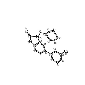 O=C1[N]c2ccc(-c3cccc(Cl)c3)cc2N1Cc1ccccc1